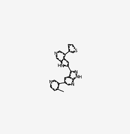 Cc1ccncc1-c1cnc2[nH]nc(-c3cc4c(-c5ccsc5)cncc4[nH]3)c2c1